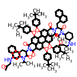 CC(C)N(C(=O)C(Cc1cccc2ccccc12)N1C(=O)c2cc(Oc3ccc(C(C)(C)C)cc3)c3c4c(Oc5ccc(C(C)(C)C)cc5)cc5c6c(cc(Oc7ccc(C(C)(C)C)cc7)c(c7c(Oc8ccc(C(C)(C)C)cc8)cc(c2c37)C1=O)c64)C(=O)N(C(Cc1cccc2ccccc12)C(=O)N(C(C)C)C1CCCC(NCC2CO2)C1)C5=O)C1CCCC(NCC2CO2)C1